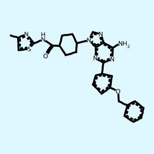 Cc1csc(NC(=O)C2CCC(n3cnc4c(N)nc(-c5cccc(OCc6ccccc6)c5)nc43)CC2)n1